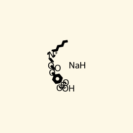 CCCCCC[N+](C)(C)CCOC(=O)Oc1ccc(S(=O)(=O)O)cc1.[NaH]